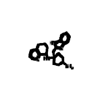 N[C@H]1CC[C@](Cc2nc3ccccc3[nH]2)(NC2CCCc3cccnc32)CC1